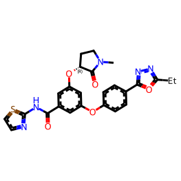 CCc1nnc(-c2ccc(Oc3cc(O[C@@H]4CCN(C)C4=O)cc(C(=O)Nc4nccs4)c3)cc2)o1